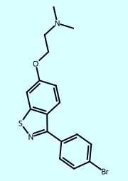 CN(C)CCOc1ccc2c(-c3ccc(Br)cc3)nsc2c1